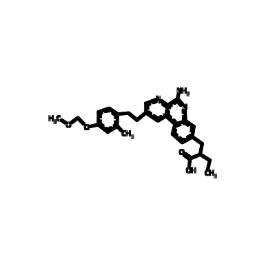 CCC(Cc1ccc2c(c1)nc(N)c1ncc(CCc3ccc(OCOC)cc3C)cc12)C(=O)O